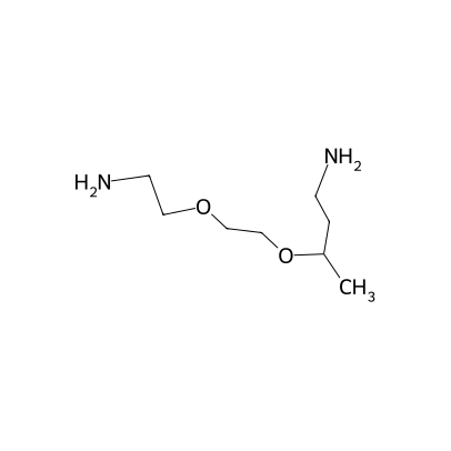 CC(CCN)OCCOCCN